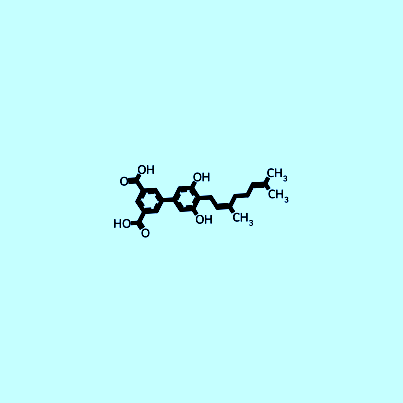 CC(C)=CCCC(C)=CCc1c(O)cc(-c2cc(C(=O)O)cc(C(=O)O)c2)cc1O